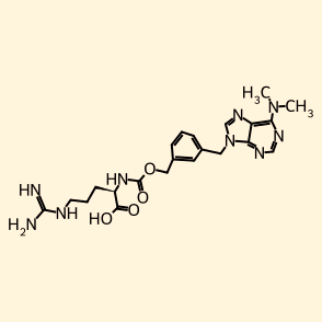 CN(C)c1ncnc2c1ncn2Cc1cccc(COC(=O)N[C@H](CCCNC(=N)N)C(=O)O)c1